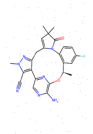 C[C@H]1Oc2nc(cnc2N)-c2c(nn(C)c2C#N)CC2=CC(C)(C)C(=O)N2c2ccc(F)cc21